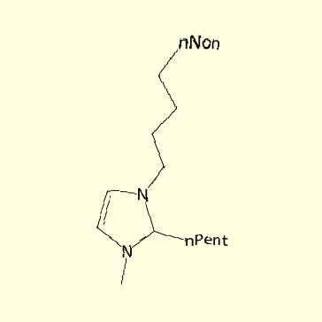 CCCCCCCCCCCCCN1C=CN(C)C1CCCCC